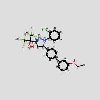 CCOc1cccc(-c2ccc(C3CC(C(O)(C(F)(F)F)C(F)(F)F)=NN3c3ccccc3Cl)cc2)c1